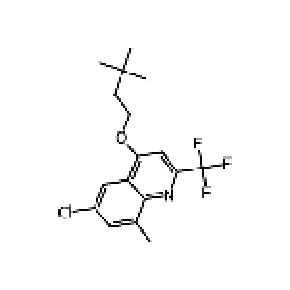 Cc1cc(Cl)cc2c(OCCC(C)(C)C)cc(C(F)(F)F)nc12